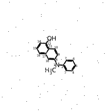 CN(c1ccccc1)c1ccc2c(O)cccc2c1